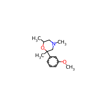 COc1cccc(C2(C)CN(C)CC(C)O2)c1